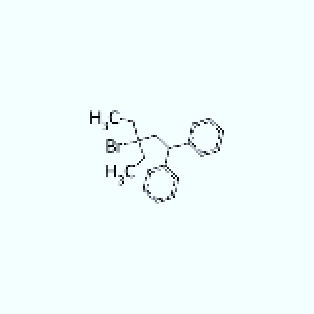 CCC(Br)(CC)CC(c1ccccc1)c1ccccc1